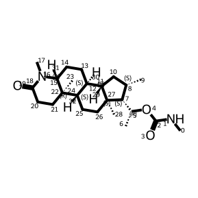 CNC(=O)O[C@H](C)[C@H]1[C@@H](C)C[C@H]2[C@@H]3CC[C@H]4N(C)C(=O)CC[C@]4(C)[C@H]3CC[C@]12C